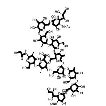 CC(=O)N[C@H]1C([C@H](O)[C@H](O)CO)O[C@@](OCC2O[C@@H](O[C@@H]3C(CO)O[C@@H](OC4C(O)[C@H](O)[C@@H](CO)O[C@@H]4OC([C@H](O)C(C)CO[C@H]4OC(CO)[C@@H](O)C(O)[C@H]4O[C@@H]4O[C@@H](CO)[C@@H](O[C@@H]5OC(CO[C@]6(C(=O)O)C[C@@H](O)[C@@H](NC(C)=O)C([C@H](O)[C@H](O)CO)O6)[C@H](O)C(O)[C@@H]5O)C(O)C4C)[C@@H](O)[C@@H](O)O[C@@H]4C(CO)O[C@@H](O[C@@H]5C(CO)O[C@@H](NC(=O)CBr)[C@@H](C)C5O)[C@@H](C)C4O)[C@@H](C)C3O)[C@@H](O)C(O)[C@H]2O)(C(=O)O)C[C@H]1O